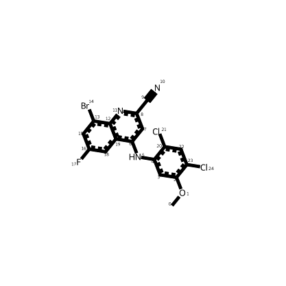 COc1cc(Nc2cc(C#N)nc3c(Br)cc(F)cc23)c(Cl)cc1Cl